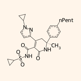 CCCCCc1ccc([C@]2(C)CC(c3ccn(C4CC4)n3)=C(C(=O)NS(=O)(=O)C3CC3)C(=O)N2)cc1